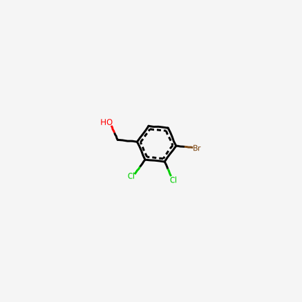 OCc1ccc(Br)c(Cl)c1Cl